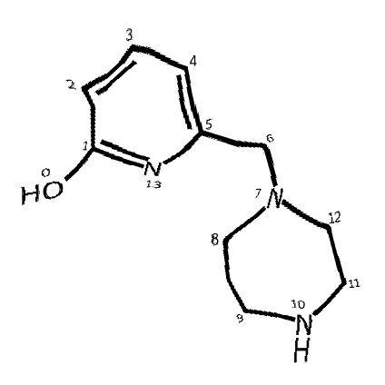 Oc1cccc(CN2CCNCC2)n1